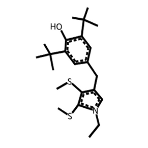 CCn1cc(Cc2cc(C(C)(C)C)c(O)c(C(C)(C)C)c2)c(SC)c1SC